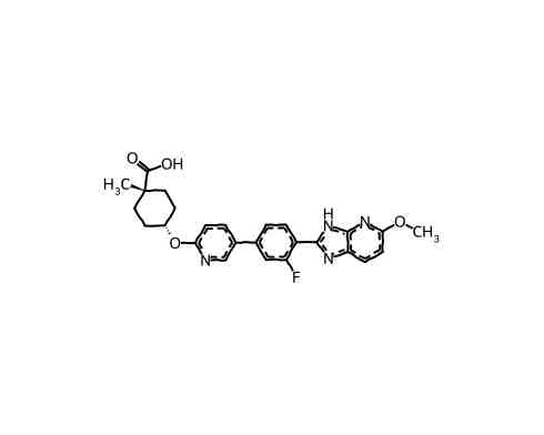 COc1ccc2nc(-c3ccc(-c4ccc(O[C@H]5CC[C@@](C)(C(=O)O)CC5)nc4)cc3F)[nH]c2n1